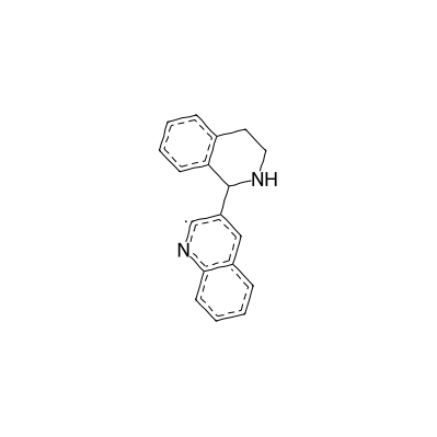 [c]1nc2ccccc2cc1C1NCCc2ccccc21